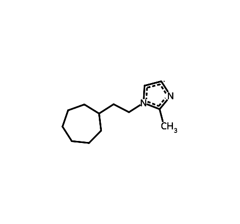 Cc1n[c]cn1CCC1CCCCCC1